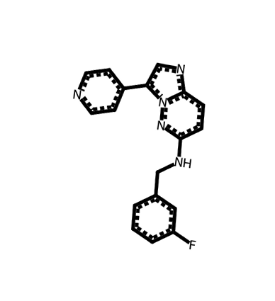 Fc1cccc(CNc2ccc3ncc(-c4ccncc4)n3n2)c1